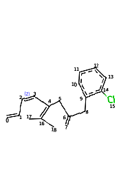 C=C/C=C\C(CC(=C)Cc1ccccc1Cl)=C(C)C